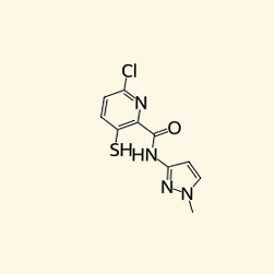 Cn1ccc(NC(=O)c2nc(Cl)ccc2S)n1